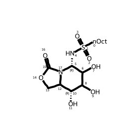 CCCCCCCCS(=O)(=O)N[C@@H]1C(O)C(O)[C@H](O)C2COC(=O)N21